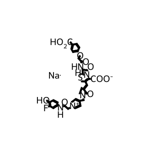 O=C(C[n+]1ccc(CN2CCC(=CC3=C(C(=O)[O-])N4C(=O)[C@@H](NC(=O)COc5ccc(C(=O)O)cc5)[C@H]4SC3)C2=O)cc1)Nc1ccc(O)c(F)c1.[Na]